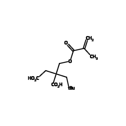 C=C(C)C(=O)OCC(CC(=O)O)(CC(C)(C)C)C(=O)O